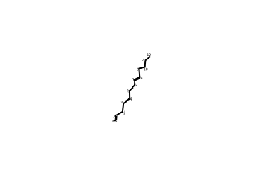 [CH]=CCCCCCC=CCCCC